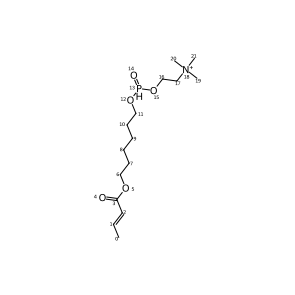 CC=CC(=O)OCCCCCCO[PH](=O)OCC[N+](C)(C)C